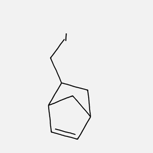 ICC1CC2C=CC1C2